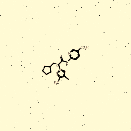 Cc1cn([C@@H](CC2CCCC2)C(=O)Nc2ccc(C(=O)O)cn2)nc1C(F)(F)F